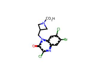 O=C(O)N1CC(Cn2c(=O)c(Cl)nc3cc(Br)c(Cl)cc32)C1